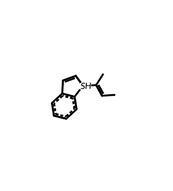 CC=C(C)[SH]1C=Cc2ccccc21